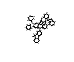 CC1(C)c2ccccc2-c2ccc(N(c3ccc4c(c3)C3(c5ccccc5Sc5ccccc53)c3cccc5cccc-4c35)c3ccc4c(c3)c3ccccc3n4-c3ccccc3)cc21